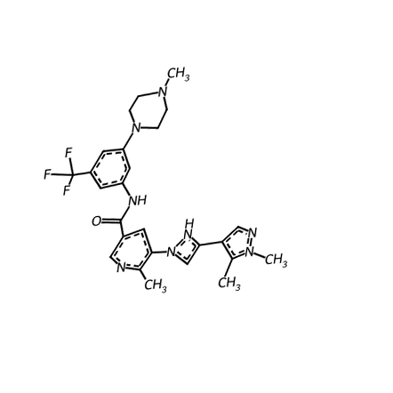 Cc1ncc(C(=O)Nc2cc(N3CCN(C)CC3)cc(C(F)(F)F)c2)cc1-n1cc(-c2cnn(C)c2C)[nH]1